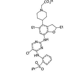 CCc1cc(Nc2ncc(Cl)c(Nc3ccccc3S(=O)(=O)C(C)C)n2)c2c(c1C1CCN(CC(=O)O)CC1)CC(CC)O2